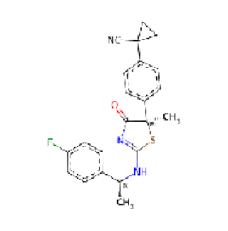 C[C@H](NC1=NC(=O)[C@@](C)(c2ccc(C3(C#N)CC3)cc2)S1)c1ccc(F)cc1